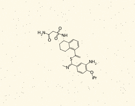 C=C(S/C(=N\C)c1ccc(OC(C)C)c(N)c1)c1cccc2c1CCC[C@@H]2NS(=O)(=O)CC(N)=O